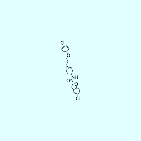 O=C(NC1CCN(CCCOc2ccc(Cl)cc2)CC1)C1Cc2cc(Cl)ccc2O1